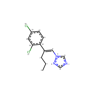 CCCC(=Cn1cncn1)c1ccc(Cl)cc1Cl